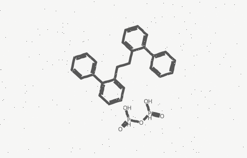 O=[PH](O)O[PH](=O)O.c1ccc(-c2ccccc2CCc2ccccc2-c2ccccc2)cc1